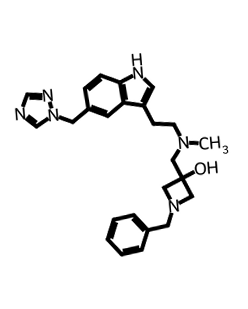 CN(CCc1c[nH]c2ccc(Cn3cncn3)cc12)CC1(O)CN(Cc2ccccc2)C1